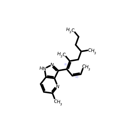 C/C=C\C(=C(\C)CC(C)CCC)c1n[nH]c2ccc(C)nc12